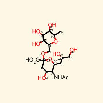 CC(=O)NC1C(O)CC(OCC2OC(C)C(O)C(O)C2O)(C(=O)O)OC1C[C@H](O)CO